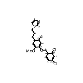 COc1cc(CCCn2ccnc2)c(Br)cc1OCc1ccc(Cl)cc1Cl